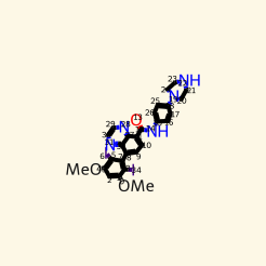 COc1cc(OC)c(I)c(-c2ccc(C(=O)Nc3ccc(N4CCNCC4)cc3)c3nccnc23)c1I